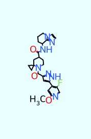 COc1cc(-c2cc(C(=O)N3CCC(C(=O)NC4CCCn5ccnc54)CC34CC4)n[nH]2)c(F)cn1